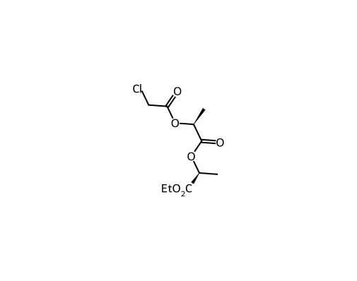 CCOC(=O)[C@H](C)OC(=O)[C@H](C)OC(=O)CCl